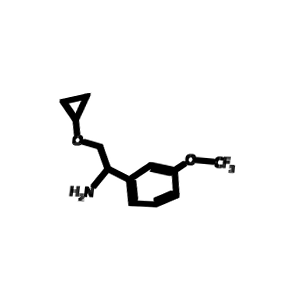 NC(COC1CC1)c1cccc(OC(F)(F)F)c1